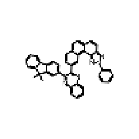 CC1(C)c2ccccc2-c2ccc(-c3nc4ccccc4nc3-c3ccc4ccc5ccc6nn(-c7ccccc7)nc6c5c4c3)cc21